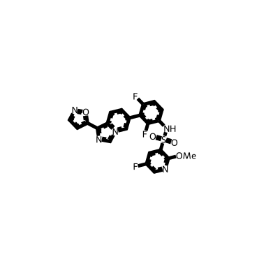 COc1ncc(F)cc1S(=O)(=O)Nc1ccc(F)c(-c2ccc3c(-c4ccno4)ncn3c2)c1F